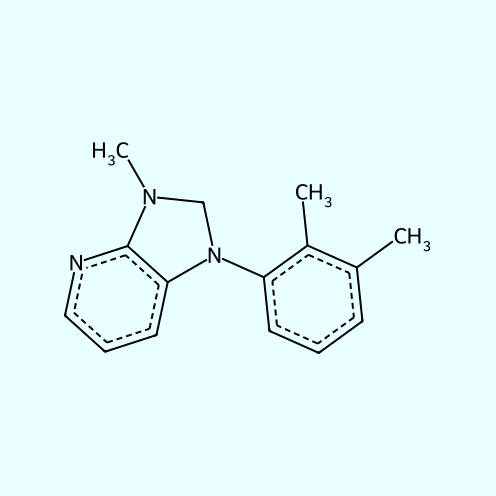 Cc1cccc(N2CN(C)c3ncccc32)c1C